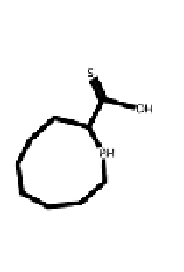 OC(=S)C1CCCCCCCP1